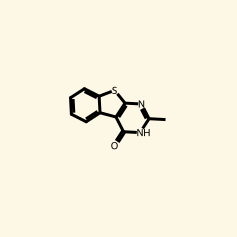 Cc1nc2sc3ccccc3c2c(=O)[nH]1